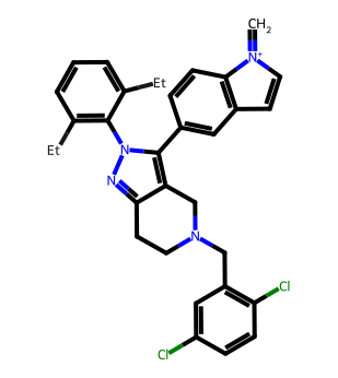 C=[N+]1C=Cc2cc(-c3c4c(nn3-c3c(CC)cccc3CC)CCN(Cc3cc(Cl)ccc3Cl)C4)ccc21